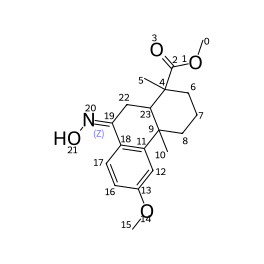 COC(=O)C1(C)CCCC2(C)c3cc(OC)ccc3/C(=N\O)CC12